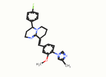 COc1cc(/C=C2\CCCN3C2=NCCC3c2ccc(F)cc2)ccc1-n1cnc(C)c1